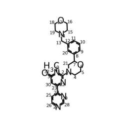 Cn1c(N2CCOC(c3cccc(CN4CCOCC4)c3)C2)nc(-c2ccncn2)cc1=O